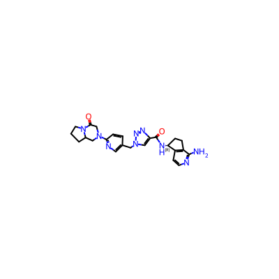 Nc1nccc2c1CC[C@H]2NC(=O)c1cn(Cc2ccc(N3CC(=O)N4CCCC4C3)nc2)nn1